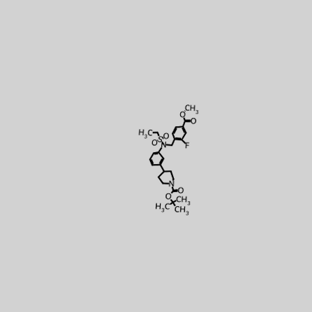 CCS(=O)(=O)N(Cc1ccc(C(=O)OC)cc1F)c1cccc(C2CCN(C(=O)OC(C)(C)C)CC2)c1